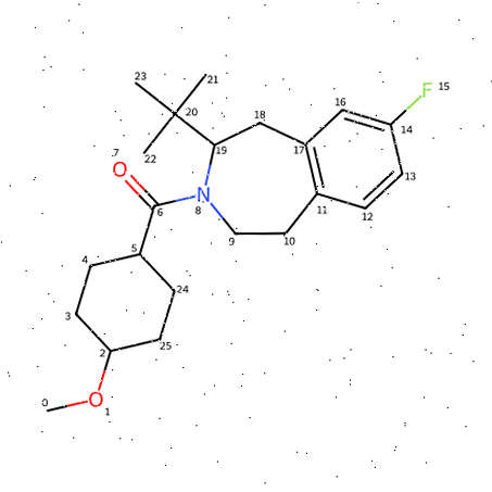 COC1CCC(C(=O)N2CCc3ccc(F)cc3CC2C(C)(C)C)CC1